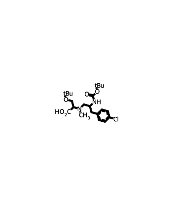 CN(CC(Cc1ccc(Cl)cc1)NC(=O)OC(C)(C)C)C(COC(C)(C)C)C(=O)O